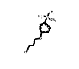 [CH3][Sn]([CH3])([CH3])[c]1ccc(OCCCCl)cc1